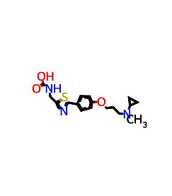 CN(CCCOc1ccc(-c2ncc(CNC(=O)O)s2)cc1)C1CC1